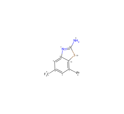 CC(C)c1cc(C(F)(F)F)cc2nc(N)sc12